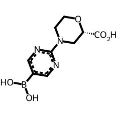 O=C(O)[C@@H]1CN(c2ncc(B(O)O)cn2)CCO1